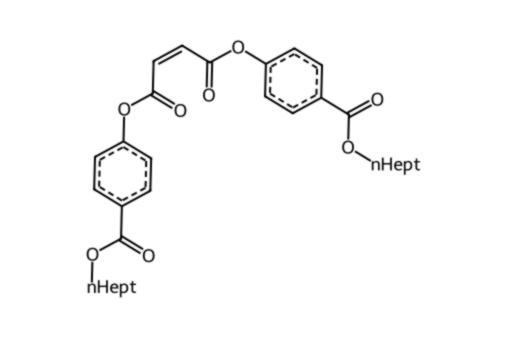 CCCCCCCOC(=O)c1ccc(OC(=O)/C=C\C(=O)Oc2ccc(C(=O)OCCCCCCC)cc2)cc1